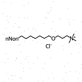 CCCCCCCCCCCCCCCCOCCC[N+](C)(C)C.[Cl-]